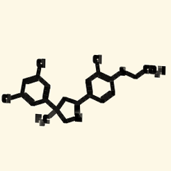 O=C(O)CSc1ccc(C2=NCC(c3cc(Cl)cc(Cl)c3)(C(F)(F)F)C2)cc1Cl